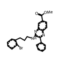 COC(=O)c1ccc2nc(-c3ccccc3)c(NCCCc3ccccc3Br)nc2c1